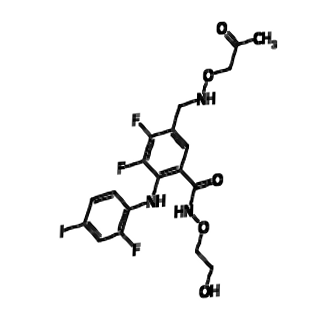 CC(=O)CONCc1cc(C(=O)NOCCO)c(Nc2ccc(I)cc2F)c(F)c1F